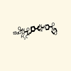 CN(Cc1cccc(-c2cnc(N3CCC(C(=O)N4CCOCC4)CC3)nc2)c1)C(=O)CNC(=O)OC(C)(C)C